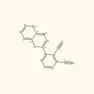 C#Cc1c(C#N)cccc1C1=CN=C2OC=CC=C2C1